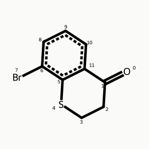 O=C1CCSc2c(Br)cccc21